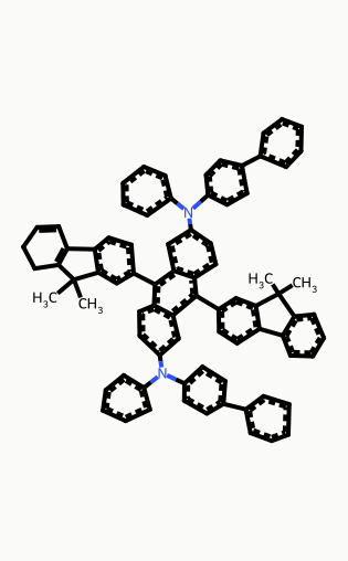 CC1(C)C2=C(C=CCC2)c2ccc(-c3c4ccc(N(c5ccccc5)c5ccc(-c6ccccc6)cc5)cc4c(-c4ccc5c(c4)C(C)(C)c4ccccc4-5)c4ccc(N(c5ccccc5)c5ccc(-c6ccccc6)cc5)cc34)cc21